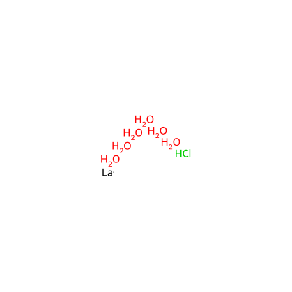 Cl.O.O.O.O.O.O.[La]